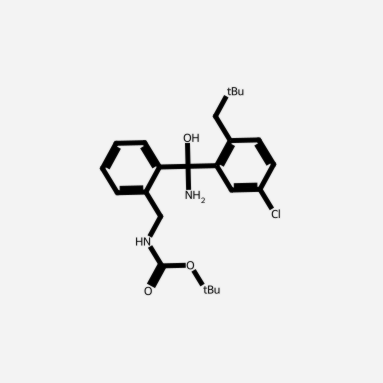 CC(C)(C)Cc1ccc(Cl)cc1C(N)(O)c1ccccc1CNC(=O)OC(C)(C)C